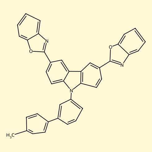 Cc1ccc(-c2cccc(-n3c4ccc(-c5nc6ccccc6o5)cc4c4cc(-c5nc6ccccc6o5)ccc43)c2)cc1